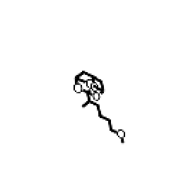 COCCCCC(C)C12OC3CC(CC(C3)O1)O2